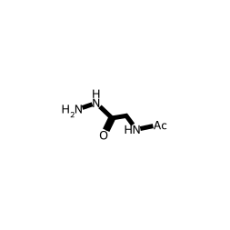 CC(=O)NCC(=O)NN